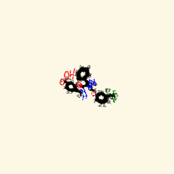 C[C@H](NC(=O)c1c(-c2ccccc2)nnn1CCOc1cccc(C(F)(F)F)c1)c1ccc(C(=O)O)cc1